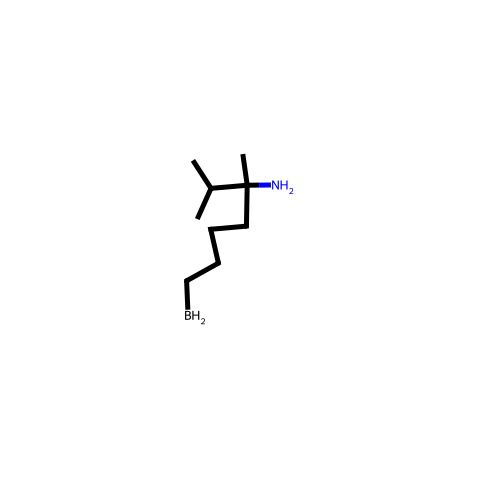 BCCCCC(C)(N)C(C)C